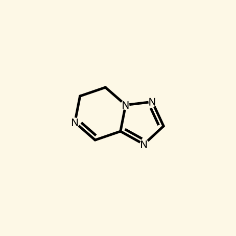 C1=NCCn2ncnc21